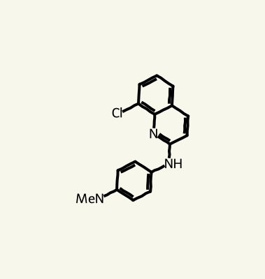 CNc1ccc(Nc2ccc3cccc(Cl)c3n2)cc1